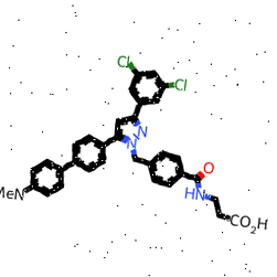 CNc1ccc(-c2ccc(-c3cc(-c4cc(Cl)cc(Cl)c4)nn3Cc3ccc(C(=O)NCCC(=O)O)cc3)cc2)cc1